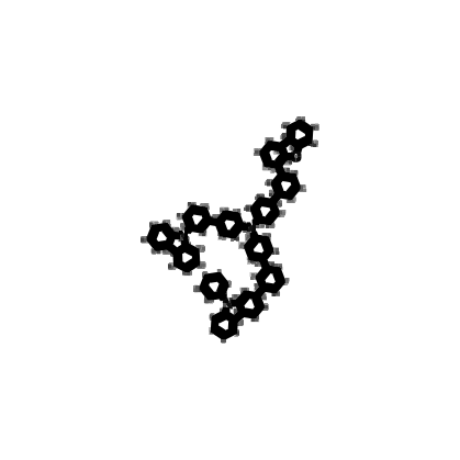 c1ccc(-n2c3ccccc3c3ccc(-c4cccc(-c5ccc(N(c6ccc(-c7cccc(-c8cccc9c8oc8ccccc89)c7)cc6)c6ccc(-c7cccc(-n8c9ccccc9c9ccccc98)c7)cc6)cc5)c4)cc32)cc1